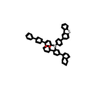 c1ccc(-c2ccc(-c3ccc(N(c4ccc(-c5ccc6sc7ccccc7c6c5)cc4)c4cc(-c5cccc6ccccc56)ccc4-c4ccccc4)cc3)cc2)cc1